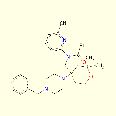 CCC(=O)N(CC1(N2CCN(Cc3ccccc3)CC2)CCOC(C)(C)C1)c1cccc(C#N)n1